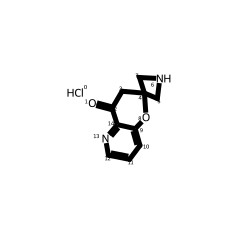 Cl.O=C1CC2(CNC2)Oc2cccnc21